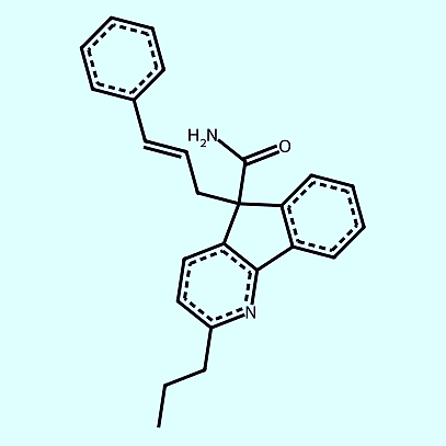 CCCc1ccc2c(n1)-c1ccccc1C2(CC=Cc1ccccc1)C(N)=O